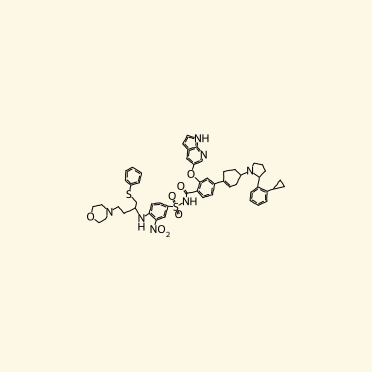 O=C(NS(=O)(=O)c1ccc(NC(CCN2CCOCC2)CSc2ccccc2)c([N+](=O)[O-])c1)c1ccc(C2=CCC(N3CCCC3c3ccccc3C3CC3)CC2)cc1Oc1cnc2[nH]ccc2c1